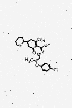 CCCC(=NOCC(C)Oc1ccc(Cl)cc1)C1=C(O)CC(C2CCCCS2)CC1=O